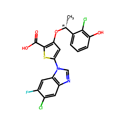 C[C@@H](Oc1cc(-n2cnc3cc(Cl)c(F)cc32)sc1C(=O)O)c1cccc(O)c1Cl